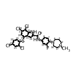 CN1CCCN(c2ccc(NC(=O)c3cc4c(Sc5ccc(Cl)cc5Cl)cc(Cl)c(Cl)c4[nH]3)cc2F)CC1